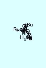 Cn1nnnc1-c1cccc(NC(=O)N[C@@H]2CCN(C(=O)OC(C)(C)C)C[C@H]2C(=O)N2CCC[C@@H](Cc3ccc(F)cc3)C2)c1